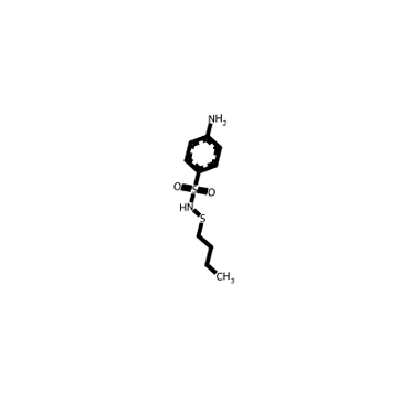 CCCCSNS(=O)(=O)c1ccc(N)cc1